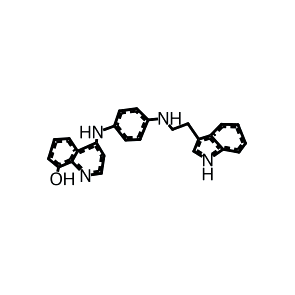 Oc1cccc2c(Nc3ccc(NCCc4c[nH]c5ccccc45)cc3)ccnc12